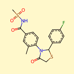 Cc1cc(C(=O)NS(C)(=O)=O)ccc1N1C(=O)CSC1c1ccc(F)cc1